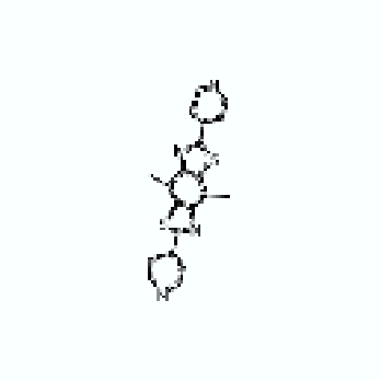 Cc1c2nc(-c3ccncc3)sc2c(C)c2nc(-c3ccncc3)sc12